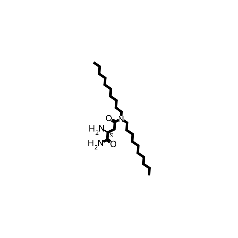 CCCCCCCCCCN(CCCCCCCCCC)C(=O)C[C@H](N)C(N)=O